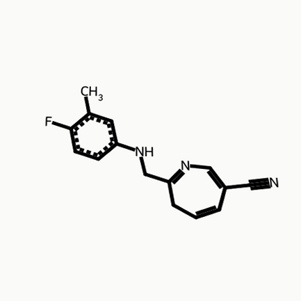 Cc1cc(NCC2=NC=C(C#N)C=CC2)ccc1F